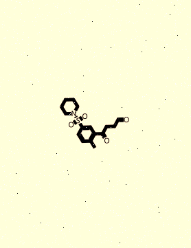 Cc1ccc(S(=O)(=O)N2CCCCC2)cc1C(=O)CCC=O